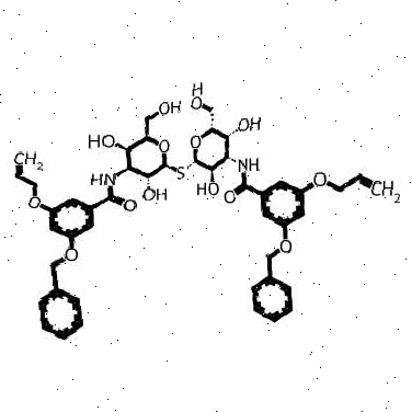 C=CCOc1cc(OCc2ccccc2)cc(C(=O)N[C@H]2[C@@H](O)[C@@H](CO)O[C@@H](S[C@@H]3O[C@H](CO)[C@H](O)[C@H](NC(=O)c4cc(OCC=C)cc(OCc5ccccc5)c4)[C@H]3O)[C@@H]2O)c1